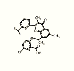 Cc1cc(C(C)Nc2ccc(Cl)nc2C(=O)O)c2oc(-c3cccc(C(F)F)n3)c(C)c(=O)c2c1